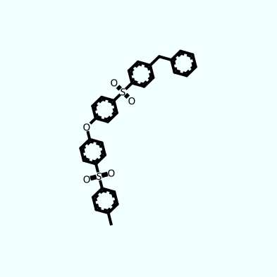 Cc1ccc(S(=O)(=O)c2ccc(Oc3ccc(S(=O)(=O)c4ccc(Cc5ccccc5)cc4)cc3)cc2)cc1